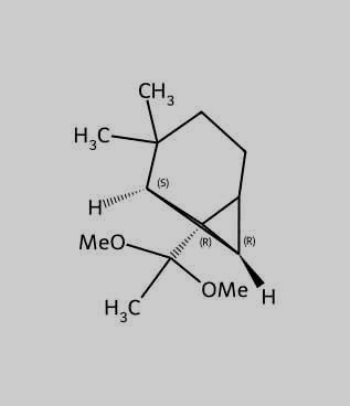 COC(C)(OC)[C@@]12C3CCC(C)(C)[C@@H]1[C@@H]32